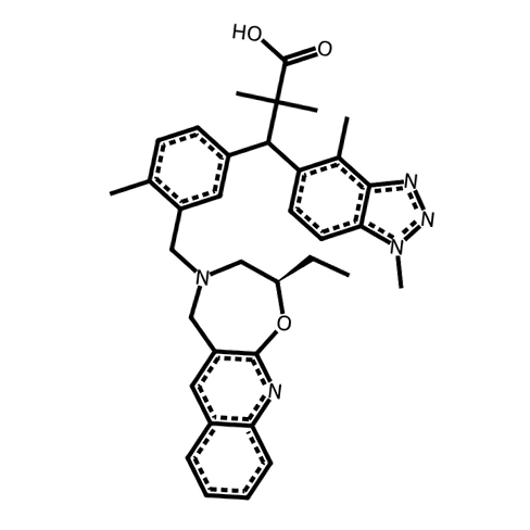 CC[C@@H]1CN(Cc2cc(C(c3ccc4c(nnn4C)c3C)C(C)(C)C(=O)O)ccc2C)Cc2cc3ccccc3nc2O1